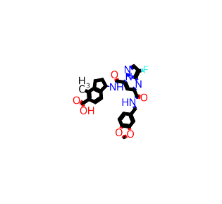 Cc1c(C(=O)O)ccc2c1CC[C@@H]2NC(=O)c1cc(C(=O)NCc2ccc3c(c2)OCO3)nc2c(F)cnn12